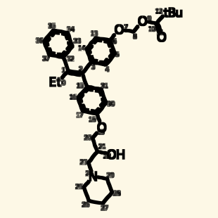 CCC(=C(c1ccc(OCOC(=O)C(C)(C)C)cc1)c1ccc(OCC(O)CN2CCCCC2)cc1)c1ccccc1